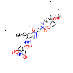 COc1cc(C(=O)NC2CC(NC(=O)COc3cccc(C(O)(C(=O)O)c4ccccc4)c3)C2)c(Cl)cc1CNCC(O)c1ccc(O)c2[nH]c(=O)ccc12